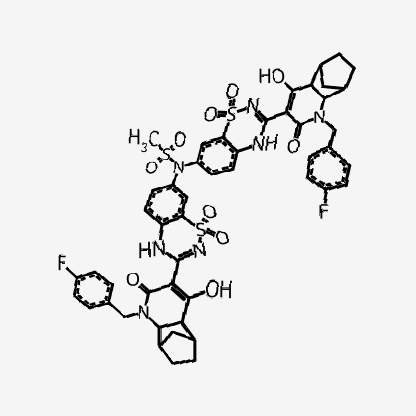 CS(=O)(=O)N(c1ccc2c(c1)S(=O)(=O)N=C(C1=C(O)C3C4CCC(C4)C3N(Cc3ccc(F)cc3)C1=O)N2)c1ccc2c(c1)S(=O)(=O)N=C(C1=C(O)C3C4CCC(C4)C3N(Cc3ccc(F)cc3)C1=O)N2